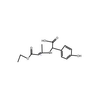 CCOC(=O)/C=C(\C)NC(C(=O)O)c1ccc(O)cc1